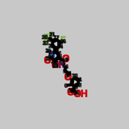 Cc1c(OCCCNC(=O)c2cc(-c3cc(F)cc(C(F)(F)F)c3)n(C)c(=O)c2O)cccc1C(=O)O